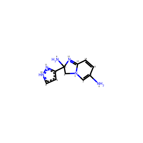 NC1=CN2CC(N)(c3cc[nH]n3)N=C2C=C1